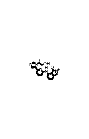 C[C@H](CO)n1cnnc1-c1cccc(Nc2cccc3c2C(=O)N(C)C3)n1